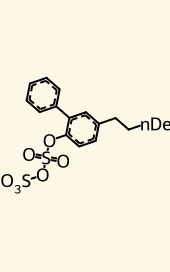 CCCCCCCCCCCCc1ccc(OS(=O)(=O)OS(=O)(=O)O)c(-c2ccccc2)c1